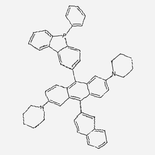 c1ccc(-p2c3ccccc3c3cc(-c4c5ccc(N6CCCCC6)cc5c(-c5ccc6ccccc6c5)c5ccc(N6CCCCC6)cc45)ccc32)cc1